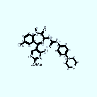 CCc1nc(OC)ncc1C1=NC(NC(=S)Nc2ccc(N3CCOCC3)cc2)C(=O)N(C)c2ccc(Cl)cc21